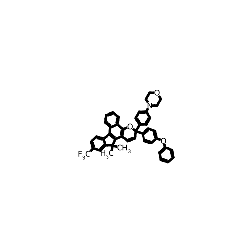 CC1(C)c2cc(C(F)(F)F)ccc2-c2c1c1c(c3ccccc23)OC(c2ccc(Oc3ccccc3)cc2)(c2ccc(N3CCOCC3)cc2)C=C1